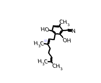 CC(C)=CCC/C(C)=C\Cc1c(O)cc(C)c(C#N)c1O